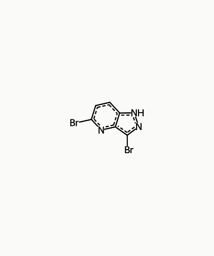 Brc1ccc2[nH]nc(Br)c2n1